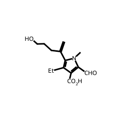 C=C(CCCO)c1c(CC)c(C(=O)O)c(C=O)n1C